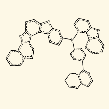 C1=Cc2cccc(-c3ccc(N(c4ccc5c(c4)sc4ccc6oc7c8ccccc8ccc7c6c45)c4cccc5sc6ccccc6c45)cc3)c2CC1